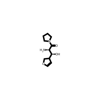 N[C@@H](C(=O)N1CCCC1)[C@@H](O)C1C=COC1